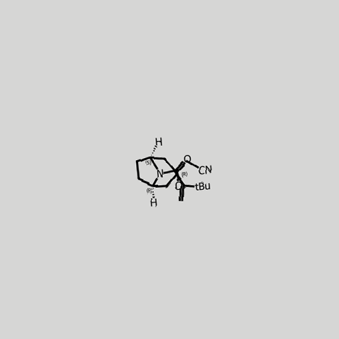 C=C[C@@]1(CC#N)C[C@H]2CC[C@@H](C1)N2C(=O)OC(C)(C)C